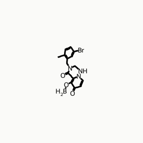 BOc1c2n(ccc1=O)NCN(Cc1cc(Br)ccc1C)C2=O